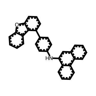 c1ccc2c(c1)cc(Nc1ccc(-c3cccc4oc5ccccc5c34)cc1)c1ccccc12